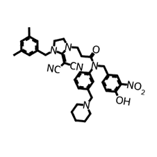 Cc1cc(C)cc(CN2CCN(CCC(=O)N(Cc3ccc(O)c([N+](=O)[O-])c3)c3cccc(CN4CCCCC4)c3)C2=C(C#N)C#N)c1